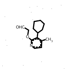 Cc1ccnc(OCC=O)c1C1CCCCC1